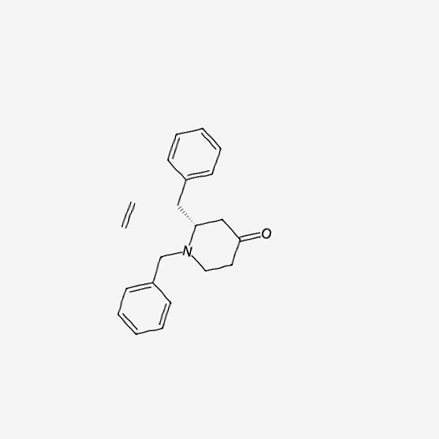 C=C.O=C1CCN(Cc2ccccc2)[C@H](Cc2ccccc2)C1